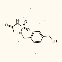 O=C1CN(Cc2ccc(CO)cc2)S(=O)(=O)N1